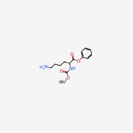 CC(C)(C)OC(=O)N[C@@H](CCCCN)C(=O)Oc1ccccc1